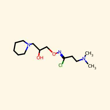 CN(C)CCC(Cl)=NOCC(O)CN1CCCCC1